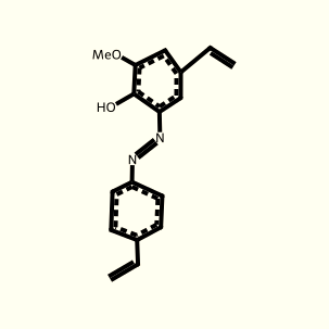 C=Cc1ccc(/N=N/c2cc(C=C)cc(OC)c2O)cc1